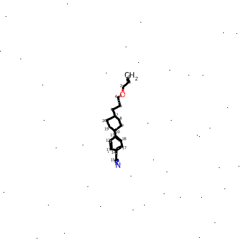 C=CCOCCCC1CCC(c2ccc(C#N)cc2)CC1